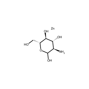 N[C@H]1C(O)O[C@H](CO)[C@@H](O)[C@@H]1O.[Zn]